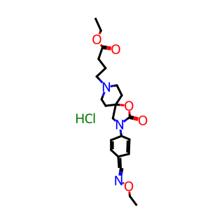 CCON=C=C1C=CC(N2CC3(CCN(CCCC(=O)OCC)CC3)OC2=O)C=C1.Cl